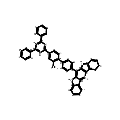 Cc1cc(-c2nc(-c3ccccc3)nc(-c3ccccc3)n2)ccc1-c1ccc(-c2c3oc4c(c3nc3c2oc2ccccc23)CCC=C4)cc1